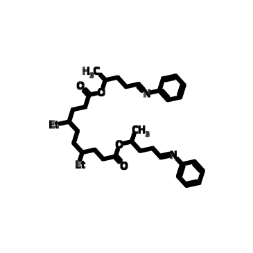 CCC(CCC(=O)OC(C)CCC=Nc1ccccc1)CCC(CC)CCC(=O)OC(C)CCC=Nc1ccccc1